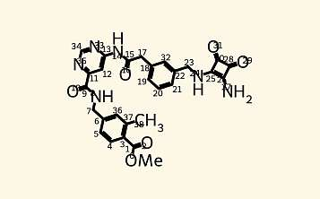 COC(=O)c1ccc(CNC(=O)c2cc(NC(=O)Cc3cccc(CNc4c(N)c(=O)c4=O)c3)ncn2)cc1C